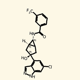 O=C(N[C@@H]1C2C[C@](O)(c3cc(Cl)cc4[nH]ncc34)C[C@H]21)c1cccc(C(F)(F)F)c1